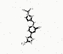 O=c1cc(-c2noc(C(F)(F)F)n2)ccn1Cc1ccn(C(F)F)n1